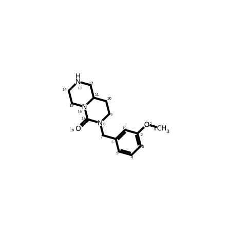 COc1cccc(CN2CCC3CNCCN3C2=O)c1